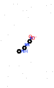 O=[N+]([O-])c1ccc(N=Nc2ccc(Nc3ccccc3)cc2)cc1